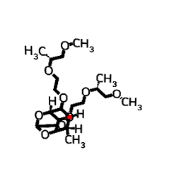 COC[C@@H](C)OCCOC1C2OC3O[C@@H]1C(OCCO[C@H](C)COC)[C@@H](O3)[C@@H]2C